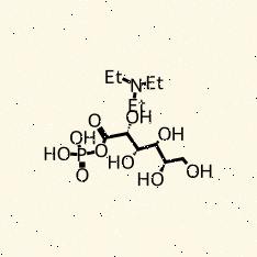 CCN(CC)CC.O=C(OP(=O)(O)O)[C@H](O)[C@@H](O)[C@H](O)[C@H](O)CO